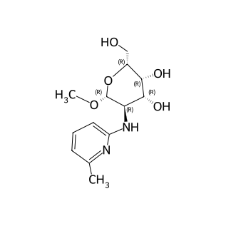 CO[C@@H]1O[C@H](CO)[C@H](O)[C@H](O)[C@H]1Nc1cccc(C)n1